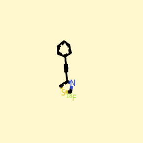 [18F]c1nc(C#Cc2ccccc2)cs1